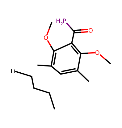 COc1c(C)cc(C)c(OC)c1C(=O)P.[Li][CH2]CCC